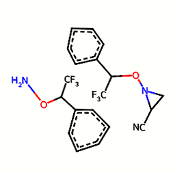 N#CC1CN1OC(c1ccccc1)C(F)(F)F.NOC(c1ccccc1)C(F)(F)F